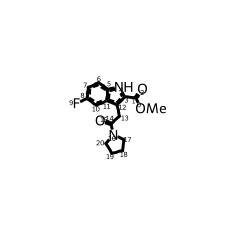 COC(=O)c1[nH]c2ccc(F)cc2c1CC(=O)N1CCCC1